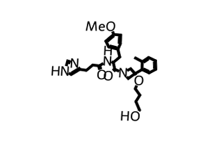 COc1ccc(CC(NC(=O)CCc2c[nH]cn2)C(=O)N2CC(OCCCCO)(c3ccccc3C)C2)cc1